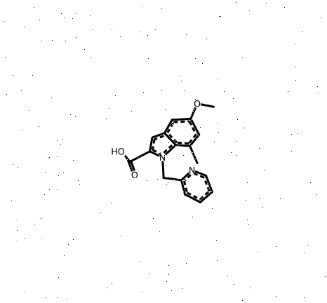 COc1cc(C)c2c(c1)cc(C(=O)O)n2Cc1ccccn1